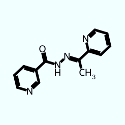 C/C(=N\NC(=O)c1cccnc1)c1ccccn1